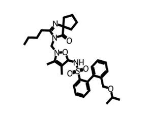 CCCCC1=NC2(CCCC2)C(=O)N1CN1OC(NS(=O)(=O)c2ccccc2-c2ccccc2COC(C)C)C(C)=C1C